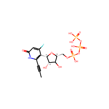 CC#Cc1[nH]c(=O)cc(F)c1[C@@H]1O[C@H](COP(=O)(O)OP(=O)(O)OP(=O)(O)O)C(O)[C@@H]1O